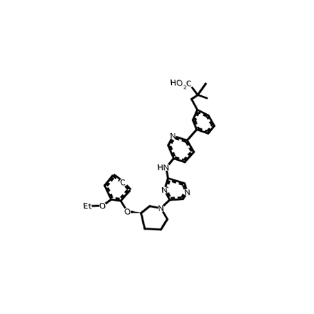 CCOc1ccccc1O[C@@H]1CCCN(c2cncc(Nc3ccc(-c4cccc(CC(C)(C)C(=O)O)c4)nc3)n2)C1